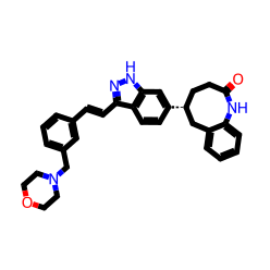 O=C1CC[C@@H](c2ccc3c(/C=C/c4cccc(CN5CCOCC5)c4)n[nH]c3c2)Cc2ccccc2N1